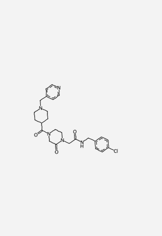 O=C(CN1CCN(C(=O)C2CCN(Cc3ccncc3)CC2)CC1=O)NCc1ccc(Cl)cc1